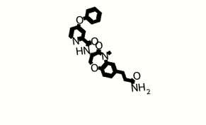 CN1C(=O)[C@@H](NC(=O)c2cc(Oc3ccccc3)ccn2)COc2ccc(CCC(N)=O)cc21